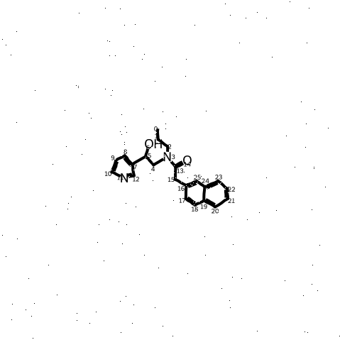 CCCN(CC(O)c1cccnc1)C(=O)Cc1ccc2ccccc2c1